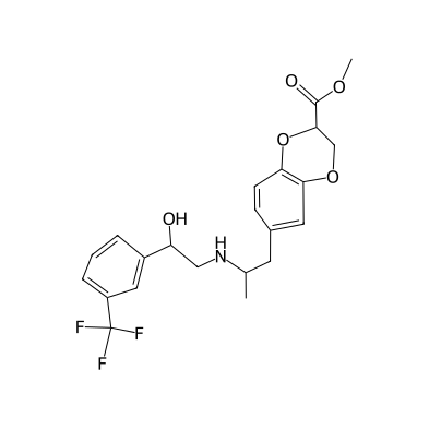 COC(=O)C1COc2cc(CC(C)NCC(O)c3cccc(C(F)(F)F)c3)ccc2O1